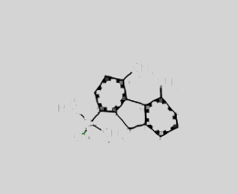 Cc1cccc2c1-c1c(C)ccc([Si](C)(C)Cl)c1C2